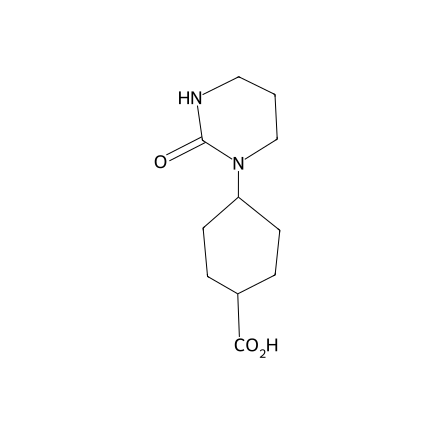 O=C(O)C1CCC(N2CCCNC2=O)CC1